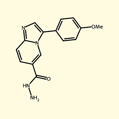 COc1ccc(-c2cnc3ccc(C(=O)NN)cn23)cc1